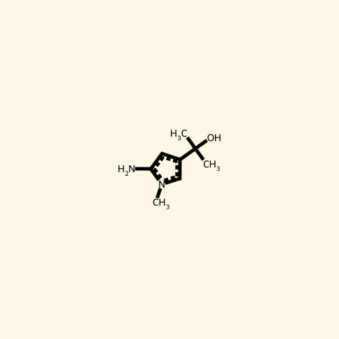 Cn1cc(C(C)(C)O)cc1N